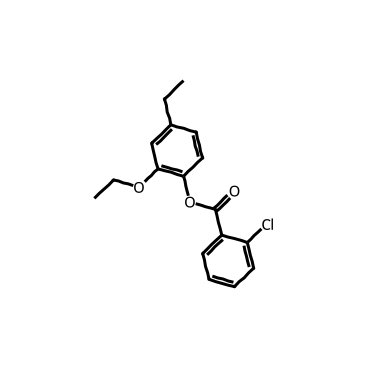 CCOc1cc(CC)ccc1OC(=O)c1ccccc1Cl